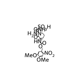 COc1cc(COC(=O)N[C@H]2CCCN(P(N)(=O)NS(=O)(=O)O)C2=O)c([N+](=O)[O-])cc1OC